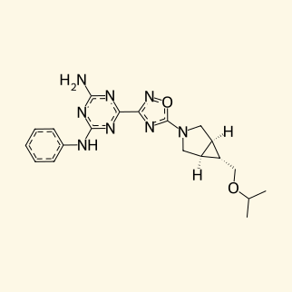 CC(C)OC[C@@H]1[C@H]2CN(c3nc(-c4nc(N)nc(Nc5ccccc5)n4)no3)C[C@@H]12